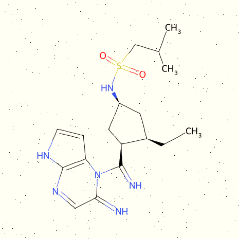 CC[C@@H]1C[C@H](NS(=O)(=O)CC(C)C)C[C@@H]1C(=N)n1c(=N)cnc2[nH]ccc21